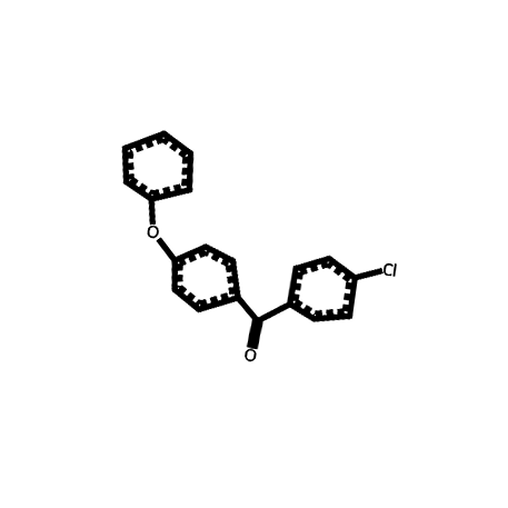 O=C(c1ccc(Cl)cc1)c1ccc(Oc2ccccc2)cc1